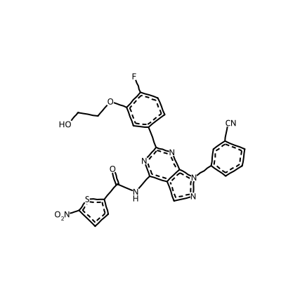 N#Cc1cccc(-n2ncc3c(NC(=O)c4ccc([N+](=O)[O-])s4)nc(-c4ccc(F)c(OCCO)c4)nc32)c1